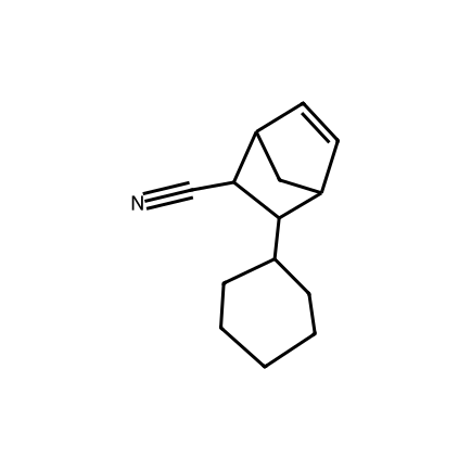 N#CC1C2C=CC(C2)C1C1CCCCC1